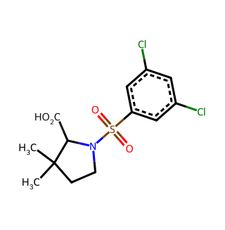 CC1(C)CCN(S(=O)(=O)c2cc(Cl)cc(Cl)c2)C1C(=O)O